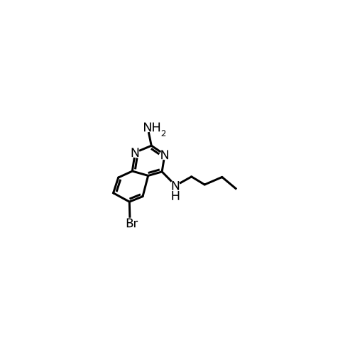 CCCCNc1nc(N)nc2ccc(Br)cc12